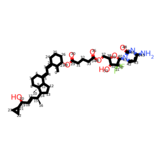 CC1/C(=C\C=C2/CCC[C@@]3(C)C2CCC3[C@@H](C)/C=C/C(O)C2CC2)CCC[C@@H]1OC(=O)CCCC(=O)OCC1OC(n2ccc(N)nc2=O)C(F)(F)C1O